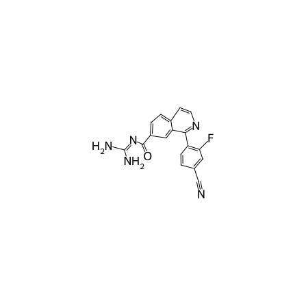 N#Cc1ccc(-c2nccc3ccc(C(=O)N=C(N)N)cc23)c(F)c1